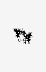 CC(C)(C)c1cc(Cn2cc[n+](Cc3cc(C(C)(C)C)cc(C(C)(C)C)c3O)c2)c(O)c(C(C)(C)C)c1.[Cl-]